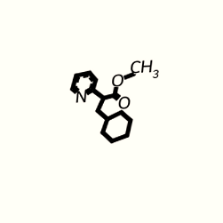 CCOC(=O)C(CC1CCCCC1)c1ccccn1